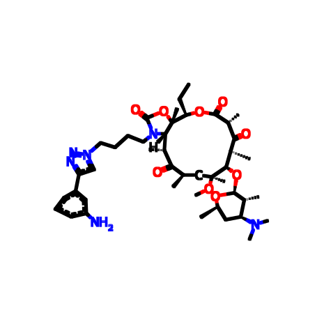 CC[C@H]1OC(=O)[C@H](C)C(=O)[C@H](C)[C@@H](O[C@@H]2O[C@H](C)C[C@H](N(C)C)[C@H]2C)[C@@](C)(OC)C[C@@H](C)C(=O)[C@H](C)[C@@H]2N(CCCCn3cc(-c4cccc(N)c4)nn3)C(=O)O[C@@]21C